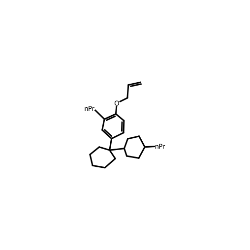 C=CCOc1ccc(C2(C3CCC(CCC)CC3)CCCCC2)cc1CCC